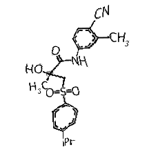 Cc1cc(NC(=O)[C@@](C)(O)CS(=O)(=O)c2ccc(C(C)C)cc2)ccc1C#N